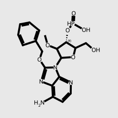 COC1C(n2c(OCc3ccccc3)nc3c(N)ccnc32)OC(CO)[C@H]1O[PH](=O)O